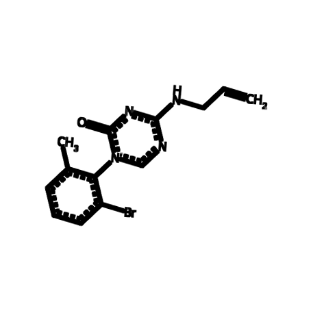 C=CCNc1ncn(-c2c(C)cccc2Br)c(=O)n1